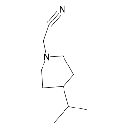 CC(C)C1CCN(CC#N)CC1